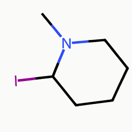 CN1CCCCC1I